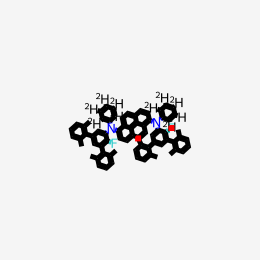 [2H]c1c([2H])c([2H])c(N(c2cc(-c3c(C)cccc3C)cc(-c3c(C)cccc3C)c2F)c2ccc3ccc4c(N(c5cc(-c6c(C)cccc6C)cc(-c6c(C)cccc6C)c5F)c5c([2H])c([2H])c([2H])c([2H])c5[2H])ccc5ccc2c3c54)c([2H])c1[2H]